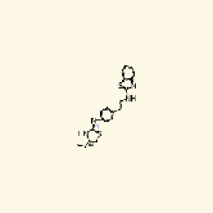 CC[C@@H]1CS/C(=N\c2ccc(CCNc3nc4ccccc4s3)cc2)N1